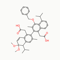 COC1(OC)C=Cc2c(cc(C)c(-c3c(C)c(OCc4ccccc4)c4c(C(C)C)cccc4c3CC(=O)O)c2CC(=O)O)C1C(C)C